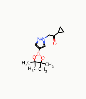 CC1(C)OB(c2cnn(CC(=O)C3CC3)c2)OC1(C)C